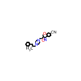 CC(=Cc1ccccc1)CN1CCN(CC2ON=C3c4ccc(C#N)cc4OCC32)CC1